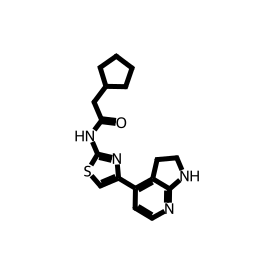 O=C(CC1CCCC1)Nc1nc(-c2ccnc3c2CCN3)cs1